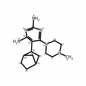 CN1CCN(c2nc(N)nc(N)c2C2CC3CCC2C3)CC1